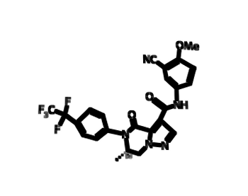 COc1ccc(NC(=O)c2cnn3c2C(=O)N(c2ccc(C(F)(F)C(F)(F)F)cc2)[C@@H](C)C3)cc1C#N